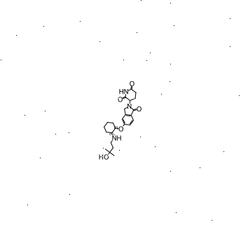 CC(C)(O)CCN[C@@H]1CCCC[C@H]1Oc1ccc2c(c1)CN(C1CCC(=O)NC1=O)C2=O